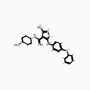 N=C(N[C@H]1CC[C@H](O)CC1)c1c(O)nsc1Nc1ccc(Oc2ccccc2)cc1